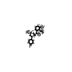 CN(C[C@@H](CC=O)c1ccc(F)cc1)C(=O)c1cccc(Br)c1C(F)(F)F